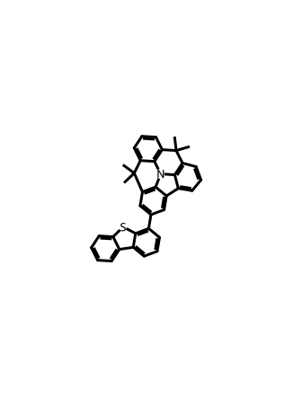 CC1(C)c2cccc3c2-n2c4c1cccc4c1cc(-c4cccc5c4sc4ccccc45)cc(c12)C3(C)C